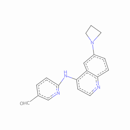 O=Cc1ccc(Nc2ccnc3ccc(N4CCC4)cc23)nc1